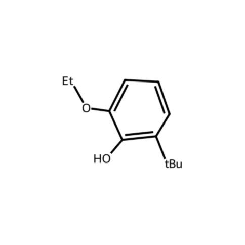 CCOc1cccc(C(C)(C)C)c1O